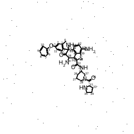 Cc1cc(Oc2ccccc2)ccc1C1(N)C(=O)C(N)c2c(C(=O)N[C@@H]3CCCN(C(=O)[C@@H]4CCCN4)C3)sc3c(N)ccc1c23